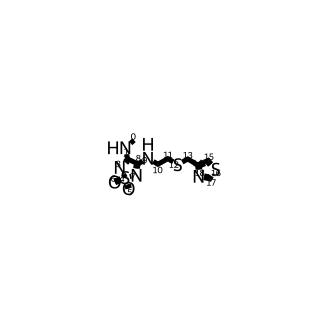 CNC1=NS(=O)(=O)N=C1NCCSCc1cscn1